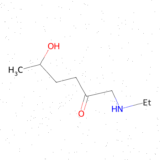 CCNCC(=O)CCC(C)O